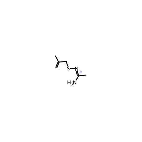 C=C(C)CS/N=C(/C)N